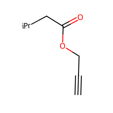 C#CCOC(=O)CC([CH2])C